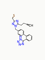 C#CCCc1nc(C=S)nn1Cc1ccc(-c2ccccc2-c2nnn[nH]2)cc1